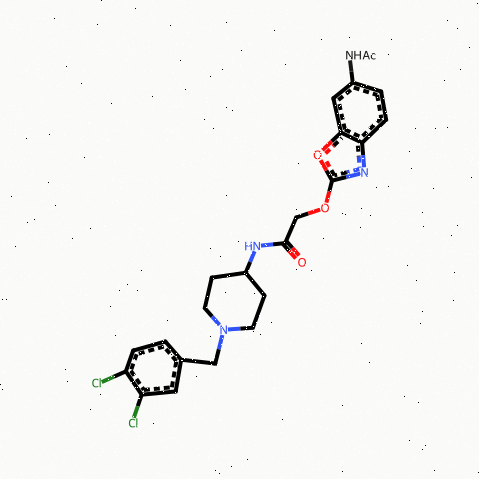 CC(=O)Nc1ccc2nc(OCC(=O)NC3CCN(Cc4ccc(Cl)c(Cl)c4)CC3)oc2c1